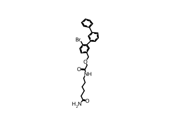 NC(=O)CCCCCNC(=O)COCc1ccc(Br)c(-c2cccc(-c3ccccc3)c2)c1